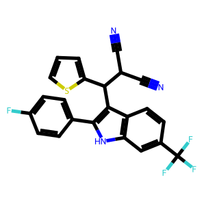 N#CC(C#N)C(c1cccs1)c1c(-c2ccc(F)cc2)[nH]c2cc(C(F)(F)F)ccc12